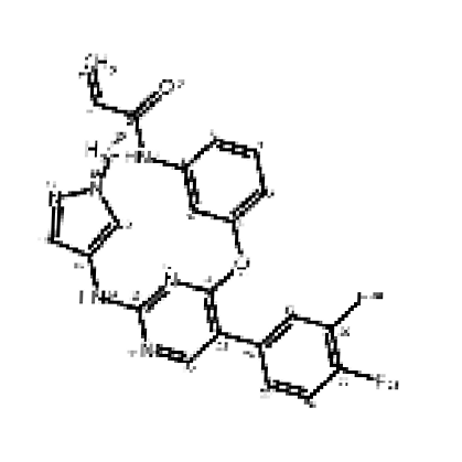 C=CC(=O)Nc1cccc(Oc2nc(Nc3cnn(C)c3)ncc2-c2ccc(F)c(F)c2)c1